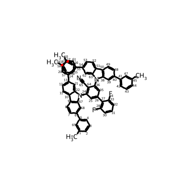 Cc1cccc(-c2ccc3c4ccc(-c5cccc(C)c5)cc4n(-c4cc(-c5c(F)cccc5F)cc(-n5c6cc(-c7cccc(C)c7)ccc6c6ccc(-c7cccc(C)c7)cc65)c4C#N)c3c2)c1